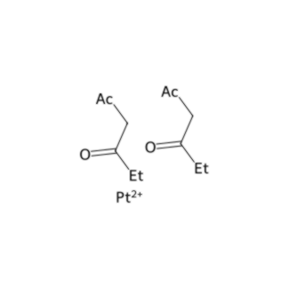 CCC(=O)CC(C)=O.CCC(=O)CC(C)=O.[Pt+2]